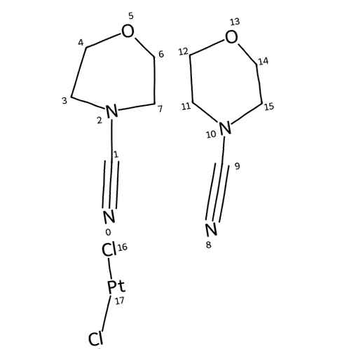 N#CN1CCOCC1.N#CN1CCOCC1.[Cl][Pt][Cl]